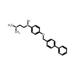 CC(=O)N(CCN(C)C)c1ccc(OCc2ccc(-c3ccccc3)cc2)cc1